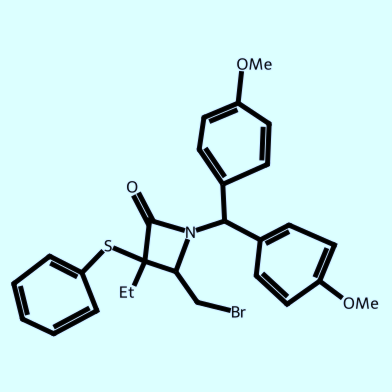 CCC1(Sc2ccccc2)C(=O)N(C(c2ccc(OC)cc2)c2ccc(OC)cc2)C1CBr